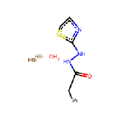 Br.Br.CC(C)CC(=O)NNc1nccs1.O